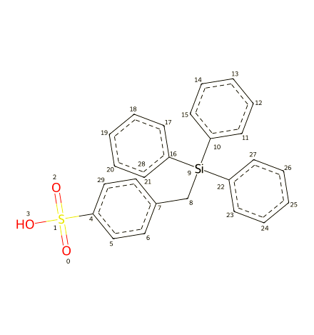 O=S(=O)(O)c1ccc(C[Si](c2ccccc2)(c2ccccc2)c2ccccc2)cc1